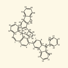 C1=Cc2ccc(-c3ccc4c(c3)c3cccnc3n4-c3ccccn3)cc2C2(c3ccccc31)c1ccccc1-c1c2ccc2c1oc1ccccc12